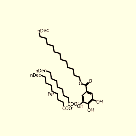 CCCCCCCCCCCCCCCCCC(=O)[O-].CCCCCCCCCCCCCCCCCC(=O)[O-].CCCCCCCCCCCCCCCCCCCCCCOC(=O)c1cc(O)c(O)c(O)c1.[Fe+2]